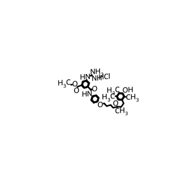 CCOC(=O)c1cc(NC(=N)N)cc(C(=O)Nc2ccc(OCCCCC3(C)CCc4c(C)c(O)c(C)c(C)c4O3)cc2)c1.Cl